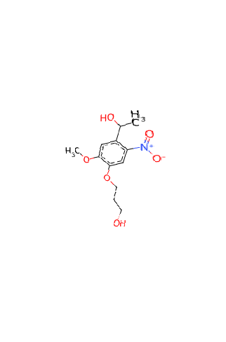 COc1cc(C(C)O)c([N+](=O)[O-])cc1OCCCO